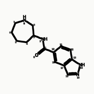 O=C(NC1CCCCNC1)c1ccc2[nH]ncc2c1